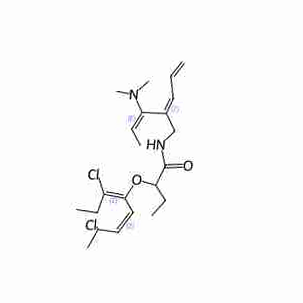 C=C/C=C(CNC(=O)C(CC)OC(/C=C\C(C)Cl)=C(\Cl)CC)\C(=C/C)N(C)C